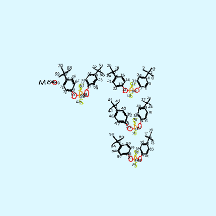 CC(C)(C)c1ccc(OP(=S)([S-])Oc2ccc(C(C)(C)C)cc2)cc1.CC(C)(C)c1ccc(OP(=S)([S-])Oc2ccc(C(C)(C)C)cc2)cc1.CC(C)(C)c1ccc(OP(=S)([S-])Oc2ccc(C(C)(C)C)cc2)cc1.CC(C)(C)c1ccc(OP(=S)([S-])Oc2ccc(C(C)(C)C)cc2)cc1.[O]=[Mo+4]